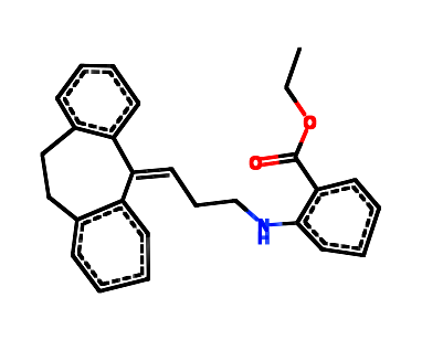 CCOC(=O)c1ccccc1NCCC=C1c2ccccc2CCc2ccccc21